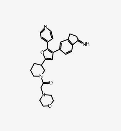 N=C1CCc2cc(-c3cc(C4CCCN(C(=O)CN5CCOCC5)C4)oc3-c3ccncc3)ccc21